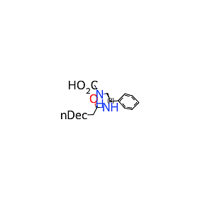 CCCCCCCCCCCC(=O)N[C@@H](CNC(=O)O)c1ccccc1